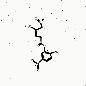 Cc1ccc([N+](=O)[O-])cc1OC(=O)CCC(C)C[N+](=O)[O-]